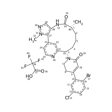 C[C@@H]1CCC[C@H](N2CCC(c3cc(Cl)ccc3Br)=CC2=O)c2cc(ccn2)-c2c(cnn2C)NC1=O.O=C(O)C(F)(F)F